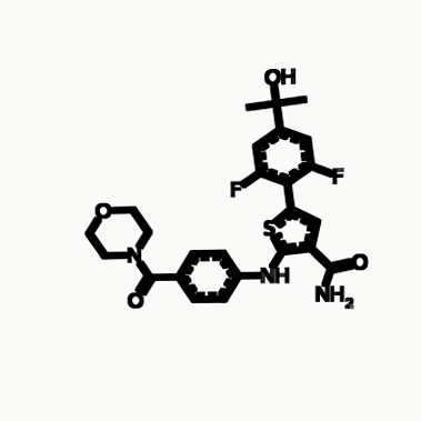 CC(C)(O)c1cc(F)c(-c2cc(C(N)=O)c(Nc3ccc(C(=O)N4CCOCC4)cc3)s2)c(F)c1